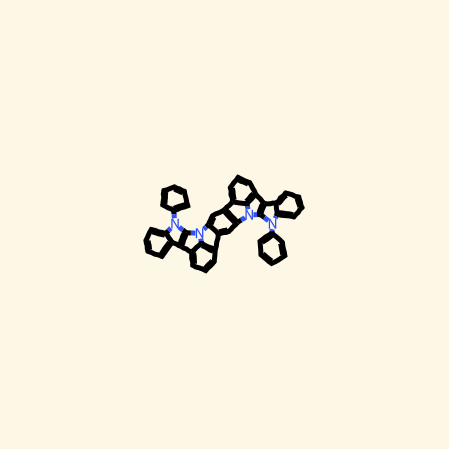 c1ccc(-n2c3ccccc3c3c4cccc5c6cc7c(cc6n(c54)c32)c2cccc3c4c5ccccc5n(-c5ccccc5)c4n7c23)cc1